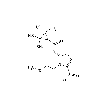 COCCn1c(C(=O)O)csc1=NC(=O)C1C(C)(C)C1(C)C